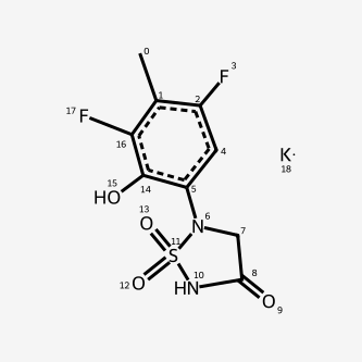 Cc1c(F)cc(N2CC(=O)NS2(=O)=O)c(O)c1F.[K]